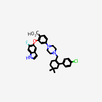 CC1(C)CCC(CN2CCN(c3ccc(C(=O)O)c(Oc4cc5cc[nH]c5cc4F)c3)CC2)=C(c2ccc(Cl)cc2)C1